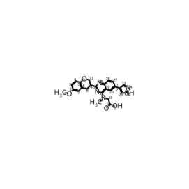 COc1ccc2c(c1)CC(c1nc(N(C)CC(=O)O)c3cc(-c4cn[nH]c4)ccc3n1)CO2